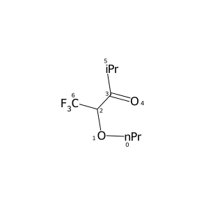 CCCOC(C(=O)C(C)C)C(F)(F)F